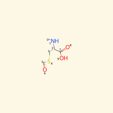 CN[C@@H](CSC=O)C(=O)O